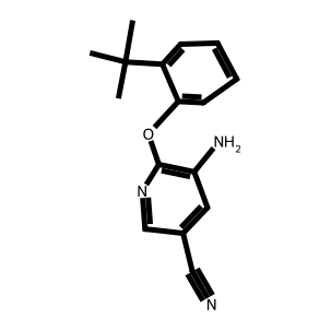 CC(C)(C)c1ccccc1Oc1ncc(C#N)cc1N